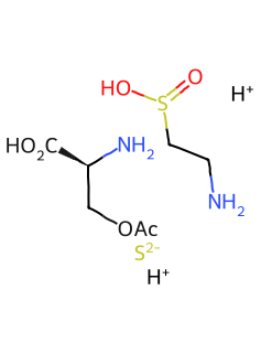 CC(=O)OC[C@H](N)C(=O)O.NCCS(=O)O.[H+].[H+].[S-2]